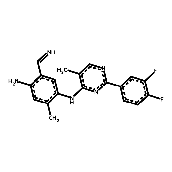 Cc1cc(N)c(C=N)cc1Nc1nc(-c2ccc(F)c(F)c2)ncc1C